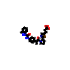 Cc1ccccc1NC(=O)Nc1ccc(C(C)C(=O)N2CCCC2c2ncc(CCC(=O)O)s2)cc1